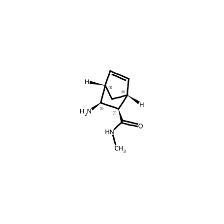 CNC(=O)[C@H]1[C@@H](N)[C@@H]2C=C[C@H]1C2